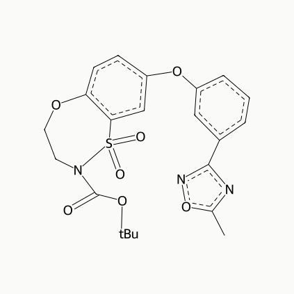 Cc1nc(-c2cccc(Oc3ccc4c(c3)S(=O)(=O)N(C(=O)OC(C)(C)C)CCO4)c2)no1